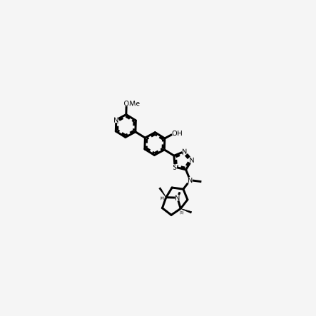 COc1cc(-c2ccc(-c3nnc(N(C)C4C[C@]5(C)CC[C@](C)(C4)N5C)s3)c(O)c2)ccn1